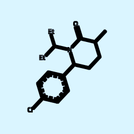 CCC(CC)N1C(=O)C(C)CCC1c1ccc(Cl)cc1